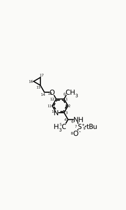 Cc1cc(C(C)N[S@+]([O-])C(C)(C)C)ncc1OCC1CC1